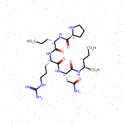 N=C(N)NCCC[C@H](NC(=O)[C@H](CCC(=O)O)NC(=O)[C@@H]1CCCN1)C(=O)N[C@@H](CC(N)=O)C(=O)N[C@@H](CCC(=O)O)C(=O)O